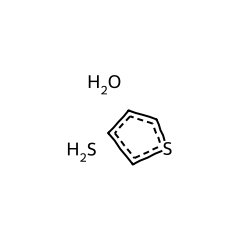 O.S.c1ccsc1